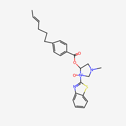 CC=CCCCc1ccc(C(=O)OC2CN(C)C[N+]2([O-])c2nc3ccccc3s2)cc1